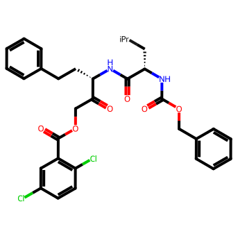 CC(C)C[C@H](NC(=O)OCc1ccccc1)C(=O)N[C@@H](CCc1ccccc1)C(=O)COC(=O)c1cc(Cl)ccc1Cl